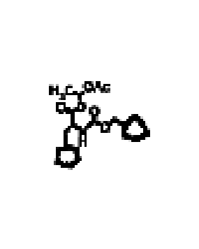 CC(=O)OC(C)OC(=O)[C@H](Cc1ccccc1)NC(=O)OCc1ccccc1